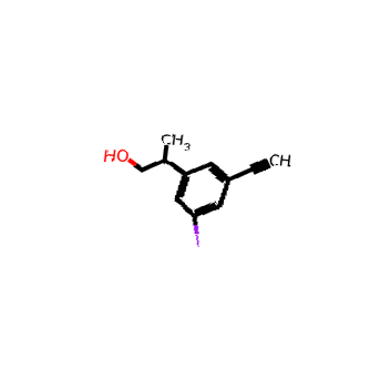 C#Cc1cc(I)cc([C](C)CO)c1